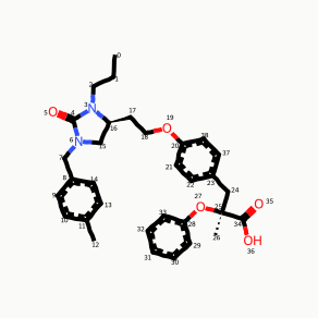 CCCN1C(=O)N(Cc2ccc(C)cc2)C[C@@H]1CCOc1ccc(C[C@](C)(Oc2ccccc2)C(=O)O)cc1